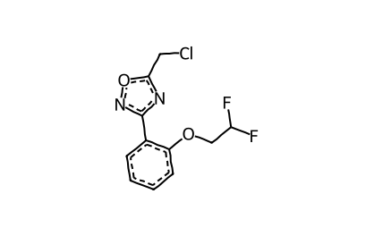 FC(F)COc1ccccc1-c1noc(CCl)n1